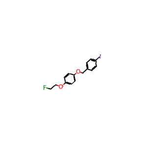 FCCOc1ccc(OCc2ccc(I)cc2)cc1